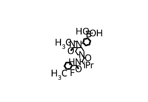 Cc1cccc(C(=O)NC(C(=O)N2CCC3(CC2)C(=O)N(C)CN3c2cccc(B(O)O)c2)C(C)C)c1F